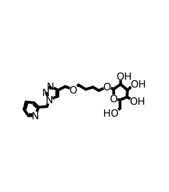 OCC1OC(OCCCCOCc2cn(Cc3ccccn3)nn2)C(O)C(O)C1O